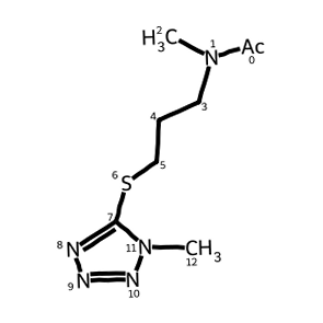 CC(=O)N(C)CCCSc1nnnn1C